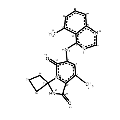 Cc1cc(Nc2ncnc3cccc(C)c23)c(=O)n2c1C(=O)NC21CCC1